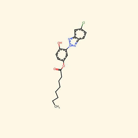 CCCCCCCC(=O)Oc1ccc(O)c(-n2nc3ccc(Cl)cc3n2)c1